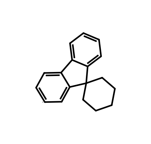 [c]1ccc2c(c1)C1(CCCCC1)c1ccccc1-2